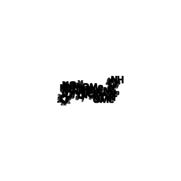 CC[C@H](C)[C@@H]([C@H](CC(=O)N1CCC[C@H]1[C@H](OC)[C@@H](C)C(=O)N[C@@H](Cc1ccccc1)c1nnn[nH]1)OC)N(C)C(=O)[C@@H](N=C(N(C)C)N1CCNCC1)C(C)C